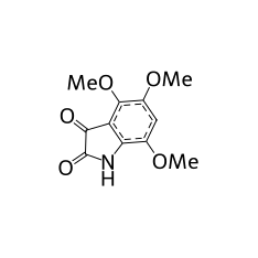 COc1cc(OC)c(OC)c2c1NC(=O)C2=O